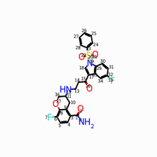 NC(=O)c1ccc(F)c2c1CC(NCCC(=O)c1cn(S(=O)(=O)c3ccccc3)c3ccc(F)cc13)CO2